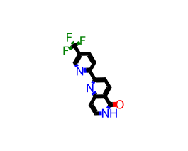 O=c1[nH]ccc2nc(-c3ccc(C(F)(F)F)cn3)ccc12